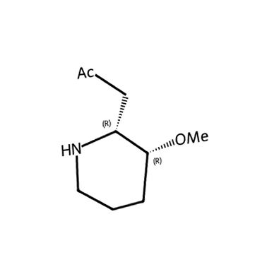 CO[C@@H]1CCCN[C@@H]1CC(C)=O